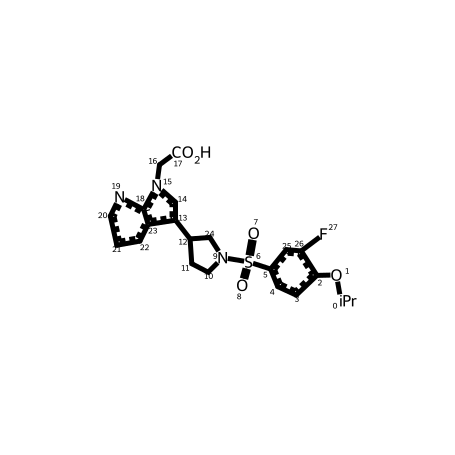 CC(C)Oc1ccc(S(=O)(=O)N2CCC(c3cn(CC(=O)O)c4ncccc34)C2)cc1F